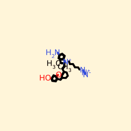 CC1(C)C(/C=C/C2=C3Oc4cc(O)ccc4C=C3CCC2)=[N+](CCCCCCN=[N+]=[N-])c2ccc(N)cc21